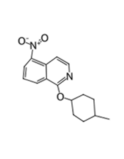 CC1CCC(Oc2nccc3c([N+](=O)[O-])cccc23)CC1